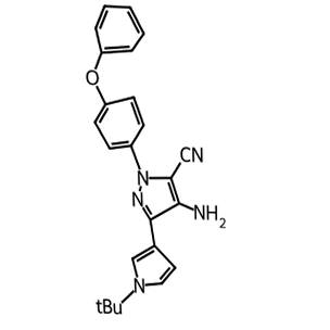 CC(C)(C)n1ccc(-c2nn(-c3ccc(Oc4ccccc4)cc3)c(C#N)c2N)c1